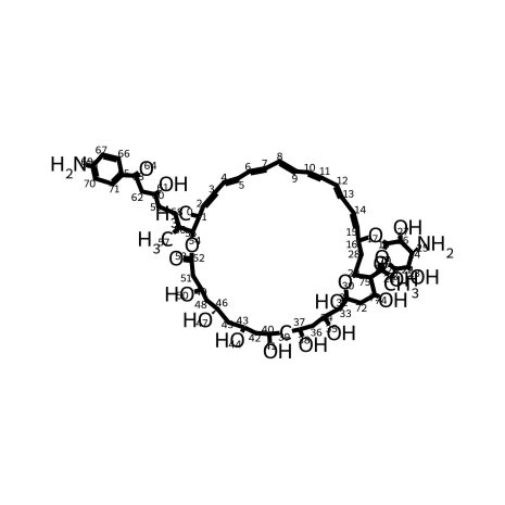 CC1/C=C/C=C/C=C/C=C/C=C/C=C/C=C/C(OC2O[C@H](C)C(O)[C@H](N)C2O)CC2OC(O)(CC(O)CC(O)CC(O)CC(O)C[C@H](O)CC(O)CC(=O)OC1C(C)CCC(O)CC(=O)c1ccc(N)cc1)CC(O)C2C(=O)O